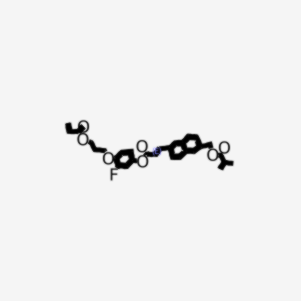 C=CC(=O)OCCCOc1ccc(OC(=O)/C=C/c2ccc3cc(COC(=O)C(=C)C)ccc3c2)cc1F